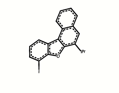 CC(C)c1cc2ccccc2c2c1oc1c(I)cccc12